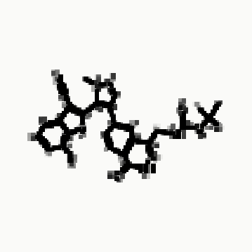 Cn1ncc(-c2ccc3c(=O)[nH]nc(CNC(=O)OC(C)(C)C)c3c2)c1-c1sc2c(Br)cccc2c1C#N